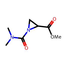 COC(=O)C1CN1C(=O)N(C)C